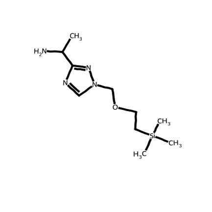 CC(N)c1ncn(COCC[Si](C)(C)C)n1